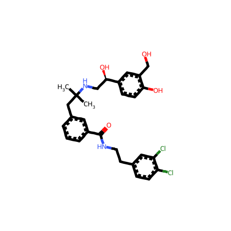 CC(C)(Cc1cccc(C(=O)NCCc2ccc(Cl)c(Cl)c2)c1)NC[C@@H](O)c1ccc(O)c(CO)c1